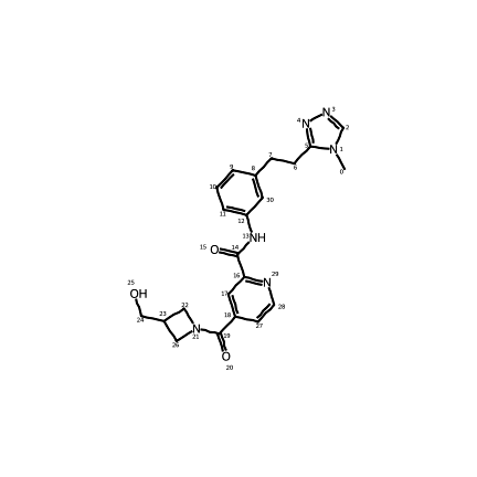 Cn1cnnc1CCc1cccc(NC(=O)c2cc(C(=O)N3CC(CO)C3)ccn2)c1